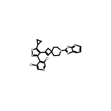 Clc1cncc(Cl)c1-c1noc(C2CC2)c1C1=CC2(CCN(c3nc4cccnc4s3)CC2)C1